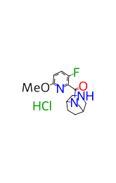 COc1ccc(F)c(C(=O)N2CC3CCC2CNC3)n1.Cl